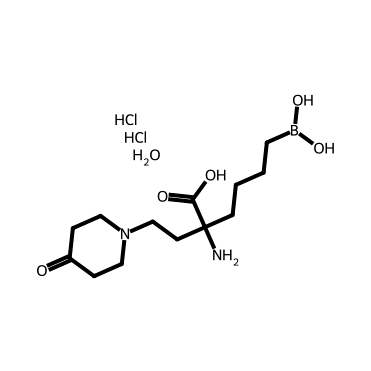 Cl.Cl.NC(CCCCB(O)O)(CCN1CCC(=O)CC1)C(=O)O.O